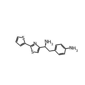 Nc1ccc(C[C@H](N)c2csc(-c3cccs3)n2)cc1